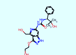 CC(C)(O)[C@@H](NC(=O)Nc1cc2[nH]nc(OCCO)c2c(CO)n1)c1ccccc1